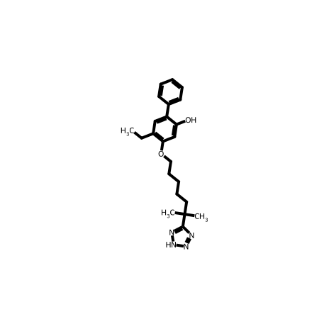 CCc1cc(-c2ccccc2)c(O)cc1OCCCCCC(C)(C)c1nn[nH]n1